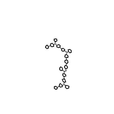 c1ccc(-c2ccc(N(c3ccccc3)c3ccc(-c4ccc(C(Cc5ccc(-c6ccc(-c7ccc(N(c8ccccc8)c8ccc(-c9ccc(N(c%10ccccc%10)c%10ccc(-c%11ccccc%11)cc%10)cc9)cc8)cc7)cc6)cc5)c5ccccc5)cc4)cc3)cc2)cc1